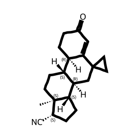 C[C@]12CC[C@H]3[C@@H](CC4(CC4)C4=CC(=O)CC[C@@H]43)[C@@H]1CC[C@@H]2C#N